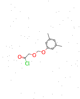 Cc1cc(C)cc(OCOCC(=O)Cl)c1